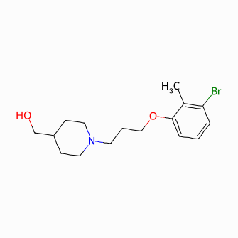 Cc1c(Br)cccc1OCCCN1CCC(CO)CC1